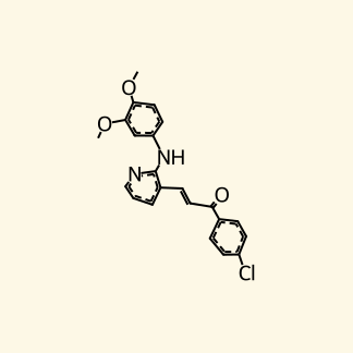 COc1ccc(Nc2ncccc2C=CC(=O)c2ccc(Cl)cc2)cc1OC